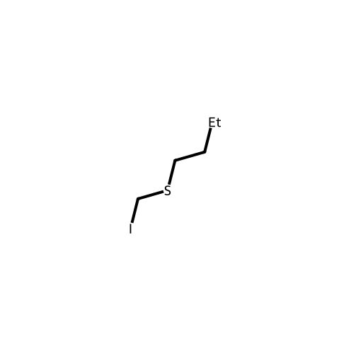 CCCCSCI